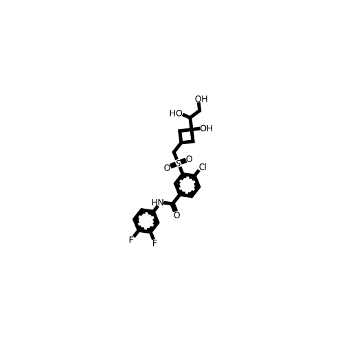 O=C(Nc1ccc(F)c(F)c1)c1ccc(Cl)c(S(=O)(=O)CC2CC(O)(C(O)CO)C2)c1